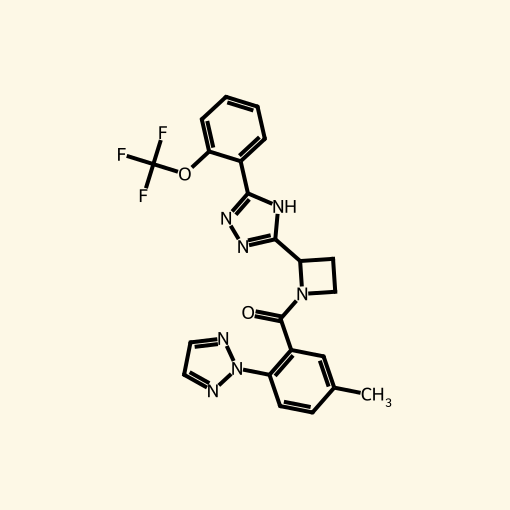 Cc1ccc(-n2nccn2)c(C(=O)N2CCC2c2nnc(-c3ccccc3OC(F)(F)F)[nH]2)c1